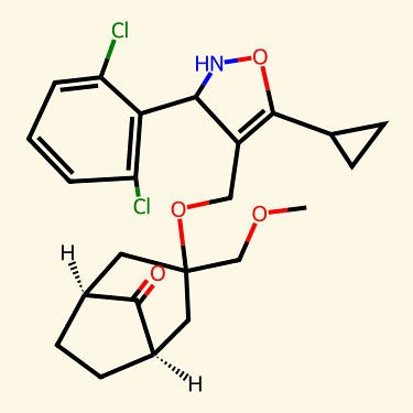 COCC1(OCC2=C(C3CC3)ONC2c2c(Cl)cccc2Cl)C[C@H]2CC[C@@H](C1)C2=O